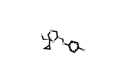 Brc1ccc(OC[C@@H]2COC[C@@](CI)(C3CC3)O2)cc1